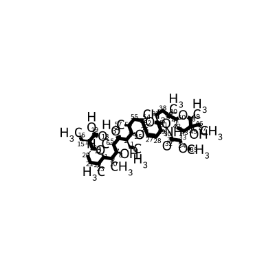 CC[C@@H](C(=O)[C@@H](C)[C@@H](O)[C@H](C)[C@@H]1O[C@@H]([C@@H](CC)C(=O)O)CC[C@@H]1C)[C@H]1O[C@]2(C=C[C@@H](NC(=O)COC)[C@]3(CC[C@@](C)([C@H]4CC[C@](O)(CC)[C@H](C)O4)O3)O2)[C@H](C)C[C@@H]1C